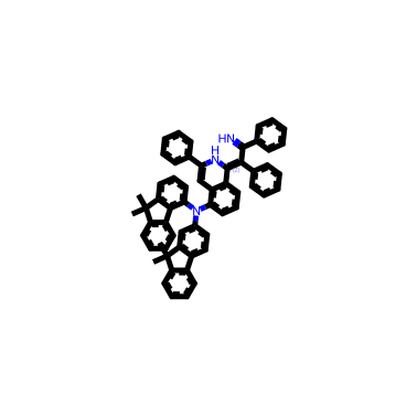 CC1(C)c2ccccc2-c2ccc(N(c3cccc4c3C=C(c3ccccc3)N/C4=C(\C(=N)c3ccccc3)c3ccccc3)c3cccc4c3-c3ccccc3C4(C)C)cc21